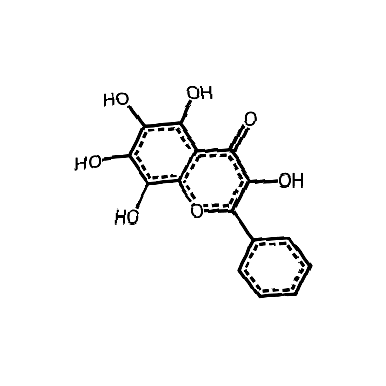 O=c1c(O)c(-c2ccccc2)oc2c(O)c(O)c(O)c(O)c12